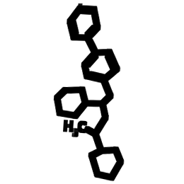 CC(CC(Cc1ccc(-c2cc[c]cc2)cc1)C1CCCCC1)C1CCCCC1